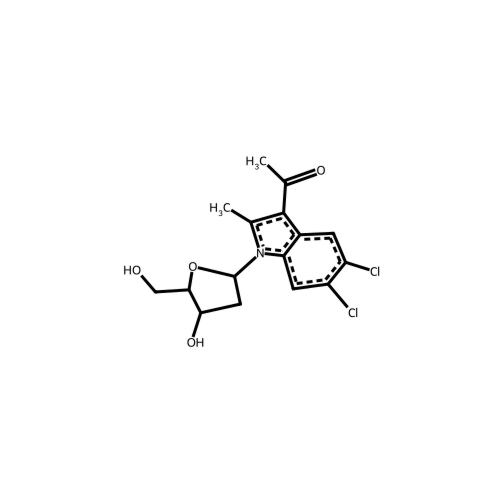 CC(=O)c1c(C)n(C2CC(O)C(CO)O2)c2cc(Cl)c(Cl)cc12